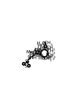 CO[C@]1(C)C[C@H](O[C@H]2[C@H](C)[C@@H](O[C@@H]3O[C@H](C)C[C@H](N(C)C)[C@H]3O)[C@](C)(O)C[C@@H](C)CN(C)[C@H](C)[C@@H](O)[C@](C)(O)[C@@H](I)OC(=O)[C@@H]2C)O[C@@H](C)[C@@]1(O)CNCCNC(=O)/C=C/c1cc2c(s1)-c1ccccc1Sc1ccccc1-2